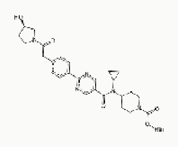 CC(C)(C)OC(=O)N1CCC(N(C(=O)c2cnc(-c3ccc(CC(=O)N4CC[C@@H](O)C4)cc3)nc2)C2CC2)CC1